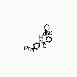 CC(C)Oc1ccc(NC(=O)c2cccc(S(=O)(=O)N3CCCCC3)c2)cc1